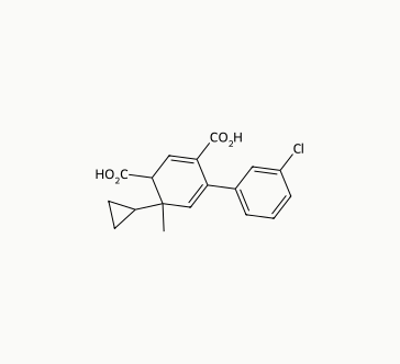 CC1(C2CC2)C=C(c2cccc(Cl)c2)C(C(=O)O)=CC1C(=O)O